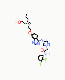 CCC[As](CCO)CCCOc1ccc2c(Nc3cnn(CC(=O)Nc4cccc(F)c4F)c3)ncnc2c1